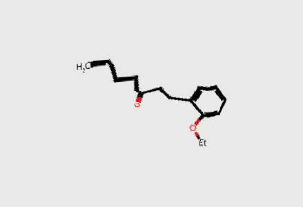 C=CCCC(=O)CCc1ccccc1OCC